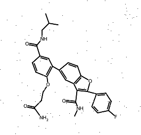 CNC(=O)c1c(-c2ccc(F)cc2)oc2ccc(-c3cc(C(=O)NCC(C)C)ccc3OCCC(N)=O)cc12